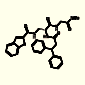 CNC(=O)CNC(=O)[C@@H](CNC(=O)c1cc2ccccc2s1)NC(=O)CC(c1ccccc1)c1ccccc1